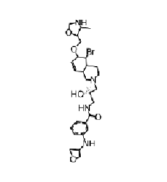 CC1NCOC1COC1C=CC2CN(C[C@@H](O)CNC(=O)c3cccc(NC4COC4)c3)CCC2C1Br